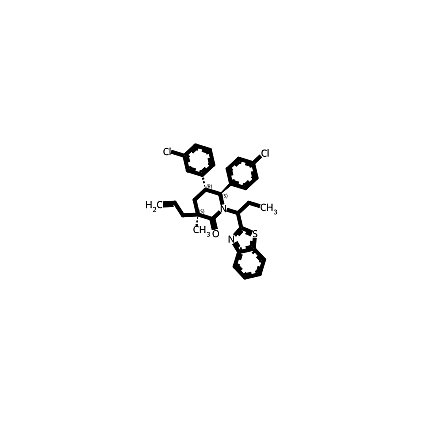 C=CC[C@@]1(C)C[C@H](c2cccc(Cl)c2)[C@@H](c2ccc(Cl)cc2)N(C(CC)c2nc3ccccc3s2)C1=O